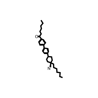 CCCCCCCC1(C#N)CCC(c2ccc(-c3ccc(C(=O)CCCCCC)cc3)cc2)CC1